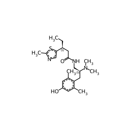 CC[C@@H](CC(=O)NC[C@H](Cc1c(C)cc(O)cc1C)N(C)C)c1cnc(C)s1